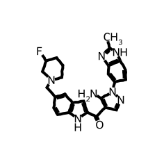 Cc1nc2cc(-n3ncc(C(=O)c4cc5cc(CN6CCCC(F)C6)ccc5[nH]4)c3N)ccc2[nH]1